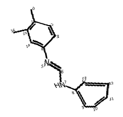 Cc1ccc(/N=C/Nc2ccccc2)cc1C